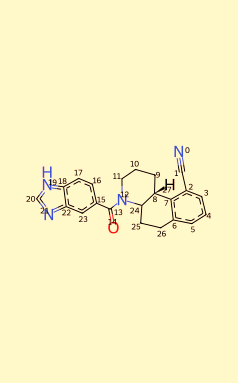 N#Cc1cccc2c1[C@H]1CCCN(C(=O)c3ccc4[nH]cnc4c3)C1CC2